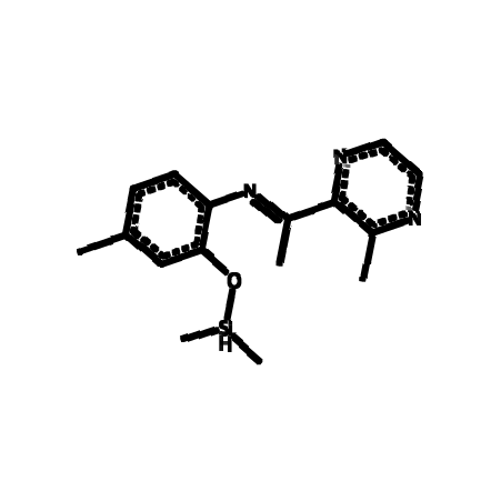 CC(=Nc1ccc(C)cc1O[SiH](C)C)c1nccnc1C